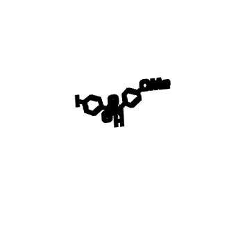 COc1ccc(NS(=O)(=O)c2ccc(I)cc2)cc1